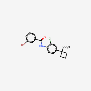 O=C(Nc1ccc(C2(C(=O)O)CCC2)cc1Cl)c1cccc(Br)c1